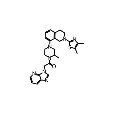 Cc1nc(N2CCc3cccc(N4CCN(C(=O)Cn5cnc6cccnc65)C(C)C4)c3C2)sc1C